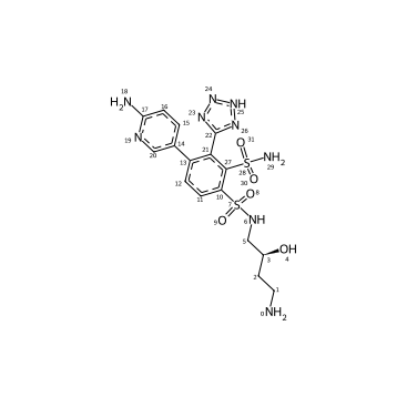 NCC[C@H](O)CNS(=O)(=O)c1ccc(-c2ccc(N)nc2)c(-c2nn[nH]n2)c1S(N)(=O)=O